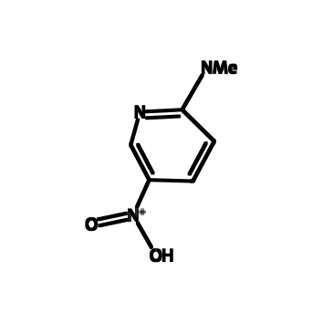 CNc1ccc([N+](=O)O)cn1